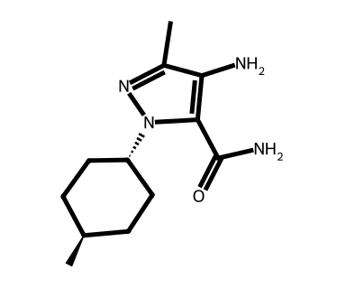 Cc1nn([C@H]2CC[C@H](C)CC2)c(C(N)=O)c1N